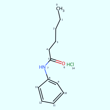 CCCCCC(=O)Nc1ccccc1.Cl